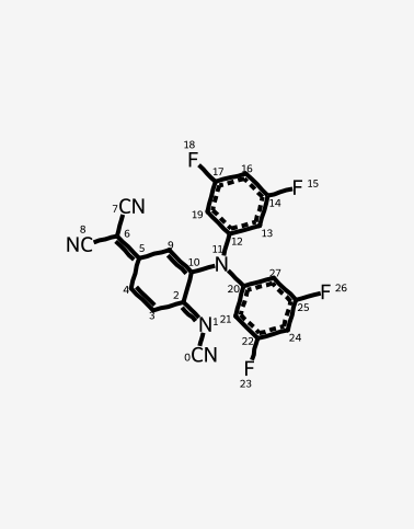 N#C/N=C1\C=CC(=C(C#N)C#N)C=C1N(c1cc(F)cc(F)c1)c1cc(F)cc(F)c1